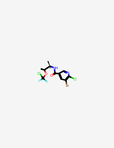 CC(OC(F)(F)Cl)[C@@H](C)NC(=O)c1cnc(Cl)c(Br)c1